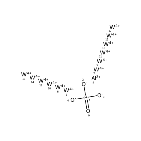 O=P([O-])([O-])[O-].[Al+3].[W+4].[W+4].[W+4].[W+4].[W+4].[W+4].[W+4].[W+4].[W+4].[W+4].[W+4].[W+4]